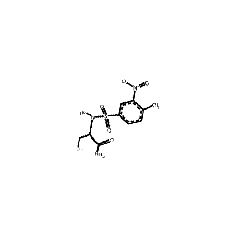 Cc1ccc(S(=O)(=O)N(O)C(CO)C(N)=O)cc1[N+](=O)[O-]